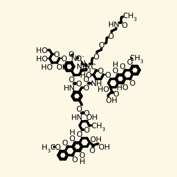 CCC(=O)NCCOCCOCCOCCn1cc(CC(OC(=O)Nc2ccc(COC(=O)N[C@@H]3C[C@H](O[C@H]4C[C@](O)(C(=O)CO)Cc5c(O)c6c(c(O)c54)C(=O)c4c(OC)cccc4C6=O)OC(C)C3O)cc2COC(=O)N[C@@H]2C[C@H](O[C@H]3C[C@](O)(C(=O)CO)Cc4c(O)c5c(c(O)c43)C(=O)c3c(OC)cccc3C5=O)OC(C)C2O)c2ccc(O[C@@H]3OC(CO)[C@H](O)C(O)[C@@H]3O)c([N+](=O)[O-])c2)nn1